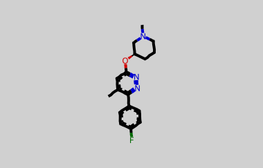 Cc1cc(O[C@@H]2CCCN(C)C2)nnc1-c1ccc(F)cc1